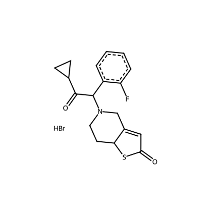 Br.O=C1C=C2CN(C(C(=O)C3CC3)c3ccccc3F)CCC2S1